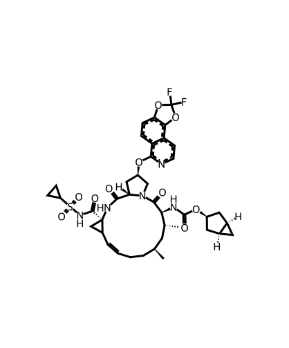 C[C@H]1CC/C=C\C2C[C@@]2(C(=O)NS(=O)(=O)C2CC2)NC(=O)[C@@H]2C[C@@H](Oc3nccc4c5c(ccc34)OC(F)(F)O5)CN2C(=O)[C@@H](NC(=O)O[C@@H]2C[C@@H]3C[C@@H]3C2)[C@H](C)C1